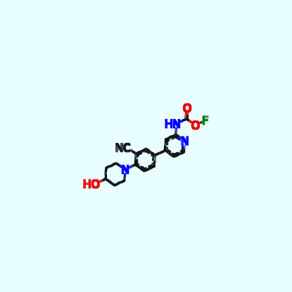 N#Cc1cc(-c2ccnc(NC(=O)OF)c2)ccc1N1CCC(O)CC1